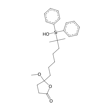 COC1(CCCCCC(C)(C)[Si](O)(c2ccccc2)c2ccccc2)CCC(=O)O1